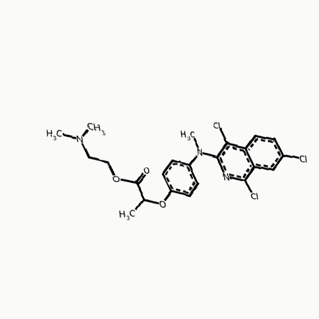 CC(Oc1ccc(N(C)c2nc(Cl)c3cc(Cl)ccc3c2Cl)cc1)C(=O)OCCN(C)C